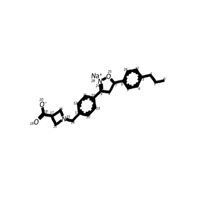 CCCc1ccc(C2CC(c3ccc(CN4CC(C(=O)[O-])C4)cc3)=NO2)cc1.[Na+]